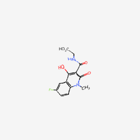 Cn1c(=O)c(C(=O)NCC(=O)O)c(O)c2cc(F)ccc21